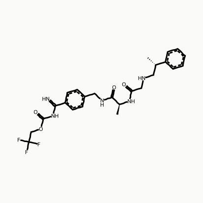 C[C@H](NC(=O)CNC[C@H](C)c1ccccc1)C(=O)NCc1ccc(C(=N)NC(=O)OCC(F)(F)F)cc1